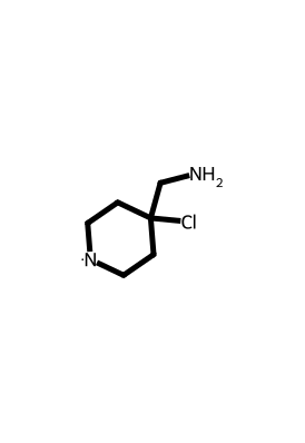 NCC1(Cl)CC[N]CC1